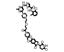 Cc1nc(Nc2ncc(C(=O)Nc3c(C)cccc3Cl)s2)cc(N2CCN(CCOCCC(=O)N3CCC4(CC3)COc3cc5c(cc3O4)CN(C3CCC(=O)NC3=O)C5=O)CC2)n1